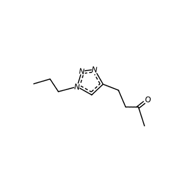 CCCn1cc(CCC(C)=O)nn1